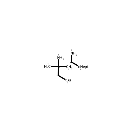 CC(C)(C)CC(C)(C)N.CCCCCCCCN